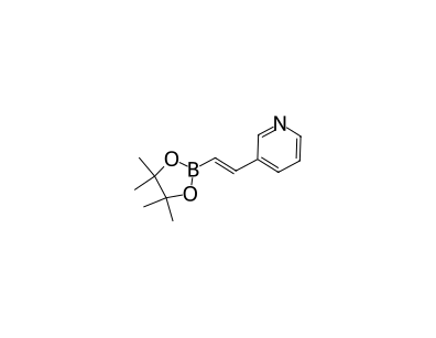 CC1(C)OB(C=Cc2cccnc2)OC1(C)C